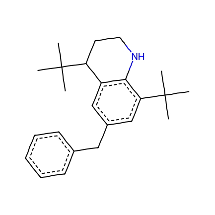 CC(C)(C)c1cc(Cc2ccccc2)cc2c1NCCC2C(C)(C)C